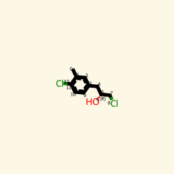 Cc1cc(C[C@@H](O)CCl)ccc1Cl